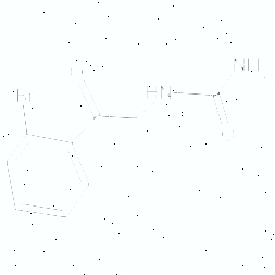 NC(=O)NCC(=O)c1ccccc1Br